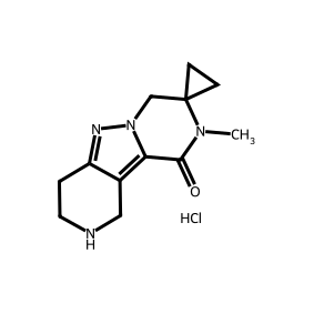 CN1C(=O)c2c3c(nn2CC12CC2)CCNC3.Cl